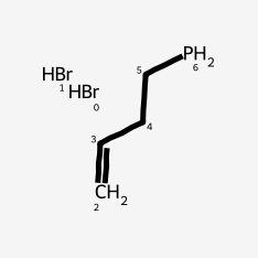 Br.Br.C=CCCP